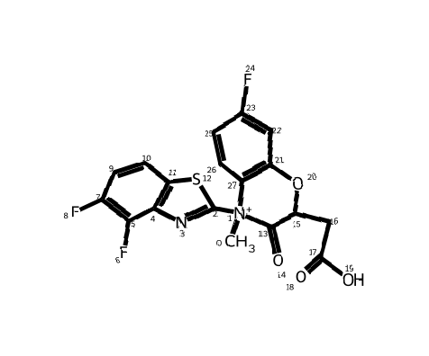 C[N+]1(c2nc3c(F)c(F)ccc3s2)C(=O)C(CC(=O)O)Oc2cc(F)ccc21